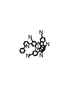 N#Cc1ccc2c3ccc(C#N)cc3n(-c3cc(C#N)c(-c4cccc(-c5ccccc5)n4)cc3-n3c4cc(C#N)ccc4c4ccc(C#N)cc43)c2c1